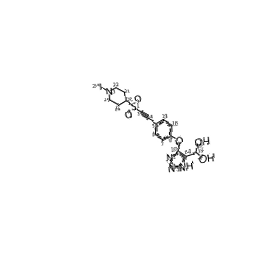 O=S(=O)(C#Cc1ccc(Oc2nn[nH]c2C(O)O)cc1)C1CCN(I)CC1